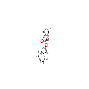 O=C(OC=Cc1ccccc1)OC1CC2CCC1C2